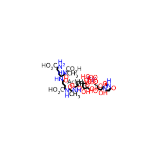 CC(=O)NC1C(OP(=O)(O)OP(=O)(O)OC[C@H]2O[C@@H](n3ccc(=O)[nH]c3=O)C(O)C2O)OC(CO)C(O)C1OC(C)C(=O)NC(C)C(=O)NC(CCC(=O)NC(CCCC(N)C(=O)O)C(=O)NC(C)C(=O)O)C(=O)O